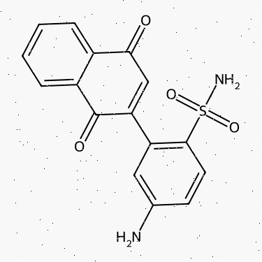 Nc1ccc(S(N)(=O)=O)c(C2=CC(=O)c3ccccc3C2=O)c1